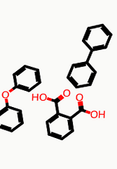 O=C(O)c1ccccc1C(=O)O.c1ccc(-c2ccccc2)cc1.c1ccc(Oc2ccccc2)cc1